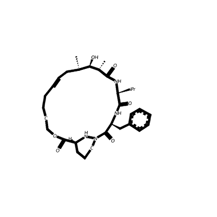 CC(C)[C@@H]1NC(=O)[C@@H](C)[C@H](O)[C@@H](C)C/C=C/CCCCOC(=O)[C@@H]2CCCN(N2)C(=O)[C@H](Cc2ccccc2)NC1=O